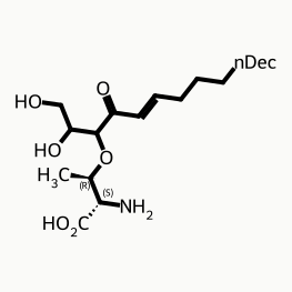 CCCCCCCCCCCCCC=CC(=O)C(O[C@H](C)[C@H](N)C(=O)O)C(O)CO